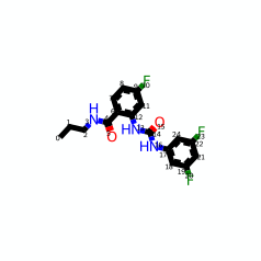 CCCNC(=O)c1ccc(F)cc1NC(=O)Nc1cc(F)cc(F)c1